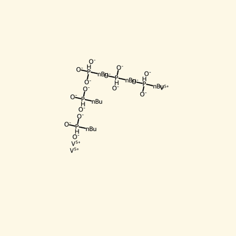 CCCC[PH]([O-])([O-])[O-].CCCC[PH]([O-])([O-])[O-].CCCC[PH]([O-])([O-])[O-].CCCC[PH]([O-])([O-])[O-].CCCC[PH]([O-])([O-])[O-].[V+5].[V+5].[V+5]